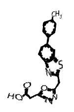 Cc1ccc(-c2ccc3nc(Cc4nnc(CC(=O)O)o4)sc3c2)cc1